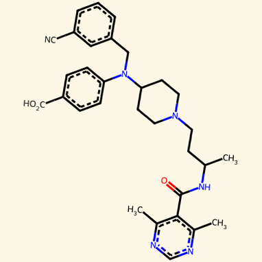 Cc1ncnc(C)c1C(=O)NC(C)CCN1CCC(N(Cc2cccc(C#N)c2)c2ccc(C(=O)O)cc2)CC1